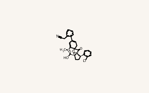 COC1=CC(c2ccccc2CC#N)=CCC1(OC)C(=O)N1[C@@H](c2ccccc2Cl)CC[C@H]1C(=O)O